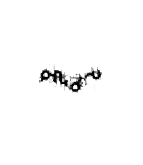 Cc1ccc(NC(=O)Cn2ncc(Cl)c(-c3cccc(F)c3)c2=O)cc1S(=O)(=O)NCCc1ccccn1